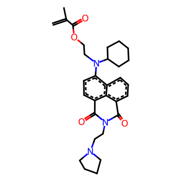 C=C(C)C(=O)OCCN(c1ccc2c3c(cccc13)C(=O)N(CCN1CCCC1)C2=O)C1CCCCC1